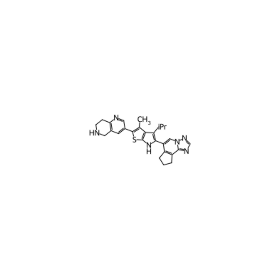 Cc1c(-c2cnc3c(c2)CNCC3)sc2[nH]c(-c3cn4ncnc4c4c3CCC4)c(C(C)C)c12